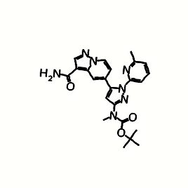 Cc1cccc(-n2nc(N(C)C(=O)OC(C)(C)C)cc2-c2ccn3ncc(C(N)=O)c3c2)n1